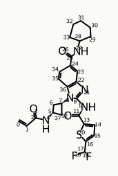 C=CC(=O)N[C@H]1C[C@@H](n2c(NC(=O)c3ccc(C(F)F)s3)nc3cc(C(=O)NC4CCCCC4)ccc32)C1